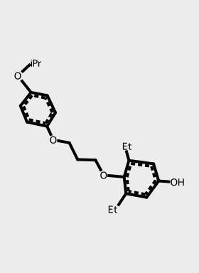 CCc1cc(O)cc(CC)c1OCCCOc1ccc(OC(C)C)cc1